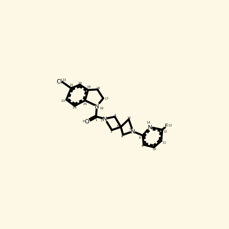 O=C(N1CC2(C1)CN(c1cccc(F)n1)C2)N1CCc2cc(Cl)ccc21